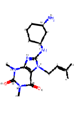 CC(C)=CCn1c(N[C@H]2CCC[C@@H](N)C2)nc2c1c(=O)n(C)c(=O)n2C